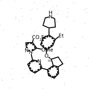 CCOC(=O)c1cnn(-c2cccc(-c3cccc4c3[C@@H](Oc3ccc(C5CCNCC5)c(CC)c3)CC4)n2)c1OC